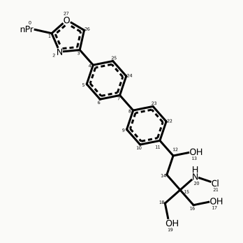 CCCc1nc(-c2ccc(-c3ccc(C(O)CC(CO)(CO)NCl)cc3)cc2)co1